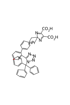 CCCC1(Cc2ccc(-c3ccccc3-c3nnnn3C(c3ccccc3)(c3ccccc3)c3ccccc3)cc2)N=C(C(=O)O)C(C(=O)O)=N1